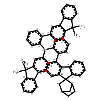 CC1(C)c2ccccc2-c2cc(-c3ccccc3N(c3ccc4c(c3)C(C)(C)c3ccccc3-4)c3ccccc3-c3cccc4c3-c3ccccc3C43CC4CCC3C4)ccc21